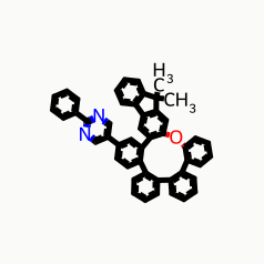 CC1(C)c2ccccc2-c2cc3c(cc21)Oc1ccccc1-c1ccccc1-c1ccccc1-c1ccc(-c2cnc(-c4ccccc4)nc2)cc1-3